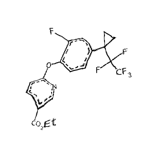 CCOC(=O)c1ccc(Oc2ccc(C3(C(F)(F)C(F)(F)F)CC3)cc2F)nc1